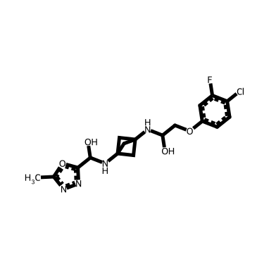 Cc1nnc(C(O)NC23CC(NC(O)COc4ccc(Cl)c(F)c4)(C2)C3)o1